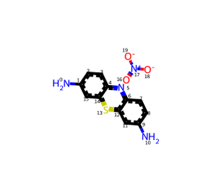 Nc1ccc2nc3ccc(N)cc3[s+]c2c1.O=[N+]([O-])[O-]